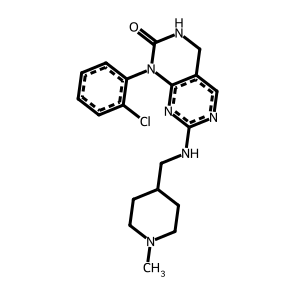 CN1CCC(CNc2ncc3c(n2)N(c2ccccc2Cl)C(=O)NC3)CC1